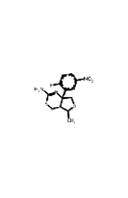 CC1OCC2(c3cc([N+](=O)[O-])ccc3F)N=C(N)SCC12